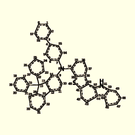 c1ccc(-c2ccc(N(c3ccc4c(c3)C(c3ccccc3)(c3ccccc3)c3ccccc3-4)c3cccc4c3sc3ccc5c6ccccc6[nH]c5c34)cc2)cc1